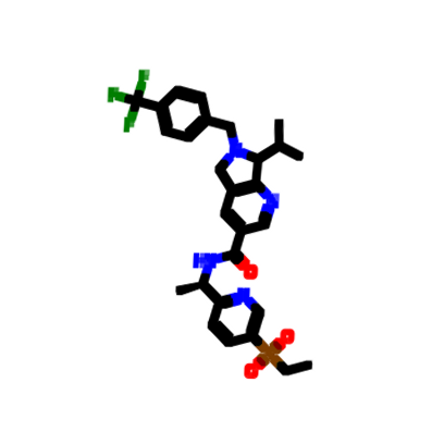 CCS(=O)(=O)c1ccc([C@@H](C)NC(=O)c2cnc3c(c2)CN(Cc2ccc(C(F)(F)F)cc2)C3C(C)C)nc1